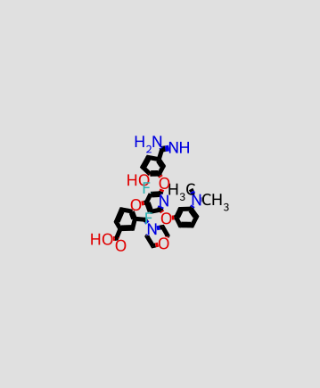 CN(C)c1cccc(Oc2nc(Oc3cc(C(=N)N)ccc3O)c(F)c(Oc3ccc(C(=O)O)cc3CN3CCOCC3)c2F)c1